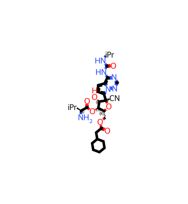 CC(C)NC(=O)Nc1ncnn2c([C@]3(C#N)O[C@H](COC(=O)CC4CCCCC4)[C@@H](OC(=O)[C@@H](N)C(C)C)[C@H]3O)ccc12